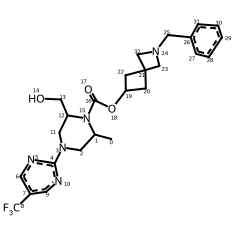 CC1CN(c2ncc(C(F)(F)F)cn2)CC(CO)N1C(=O)OC1CC2(C1)CN(Cc1ccccc1)C2